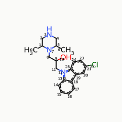 CC1CNCC(C)N1CC(O)Cn1c2ccccc2c2cc(Cl)ccc21